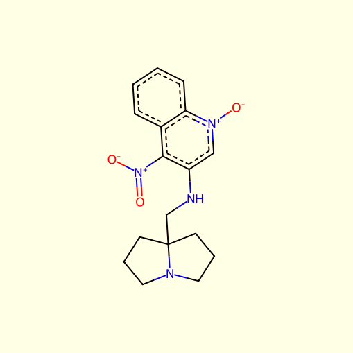 O=[N+]([O-])c1c(NCC23CCCN2CCC3)c[n+]([O-])c2ccccc12